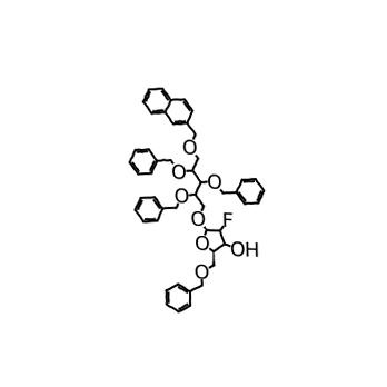 OC1C(F)[C@H](OCC(OCc2ccccc2)C(OCc2ccccc2)C(COCc2ccc3ccccc3c2)OCc2ccccc2)O[C@@H]1COCc1ccccc1